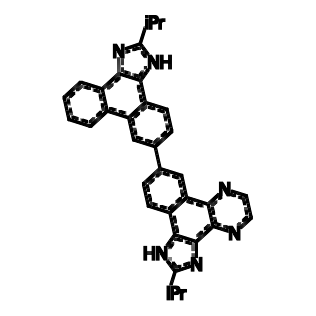 CC(C)c1nc2c3ccccc3c3cc(-c4ccc5c(c4)c4nccnc4c4nc(C(C)C)[nH]c54)ccc3c2[nH]1